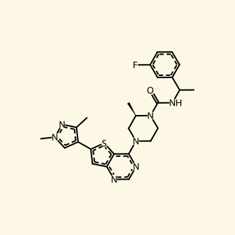 Cc1nn(C)cc1-c1cc2ncnc(N3CCN(C(=O)NC(C)c4cccc(F)c4)[C@H](C)C3)c2s1